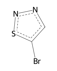 Brc1cnns1